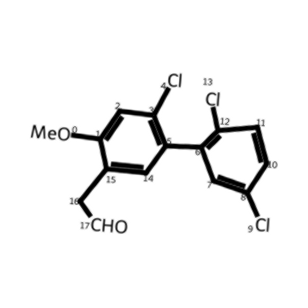 COc1cc(Cl)c(-c2cc(Cl)ccc2Cl)cc1CC=O